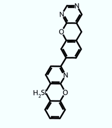 c1ccc2c(c1)Oc1nc(-c3ccc4c(c3)Oc3ncncc3C4)ccc1[SiH2]2